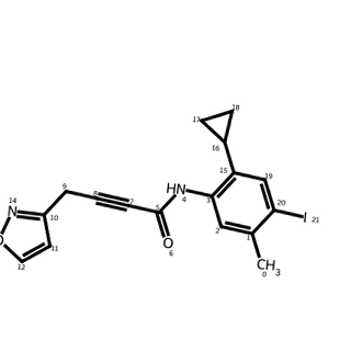 Cc1cc(NC(=O)C#CCc2ccon2)c(C2CC2)cc1I